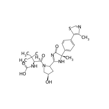 Cc1ncsc1-c1ccc([C@]2(C)NC(C3C[C@@H](O)CN3C(=O)[C@@H](NC(=O)O)C(C)(C)C)=NC2=O)cc1